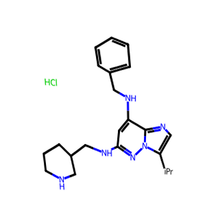 CC(C)c1cnc2c(NCc3ccccc3)cc(NCC3CCCNC3)nn12.Cl